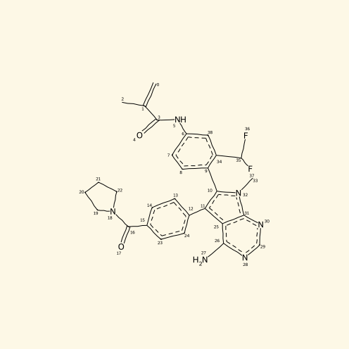 C=C(C)C(=O)Nc1ccc(-c2c(-c3ccc(C(=O)N4CCCC4)cc3)c3c(N)ncnc3n2C)c(C(F)F)c1